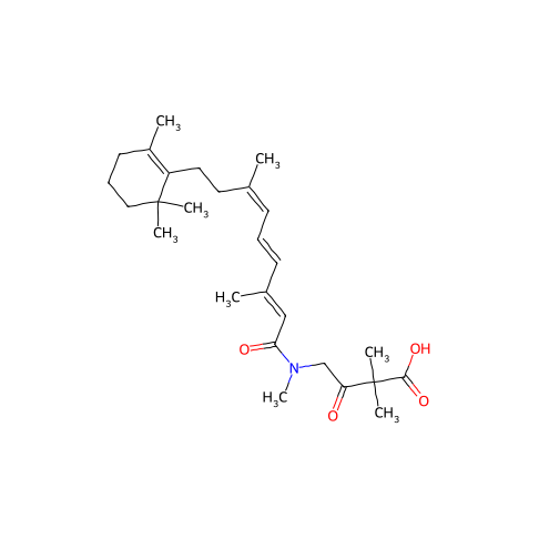 CC1=C(CC\C(C)=C/C=C/C(C)=C/C(=O)N(C)CC(=O)C(C)(C)C(=O)O)C(C)(C)CCC1